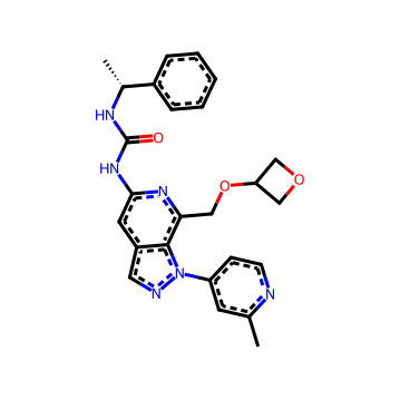 Cc1cc(-n2ncc3cc(NC(=O)N[C@H](C)c4ccccc4)nc(COC4COC4)c32)ccn1